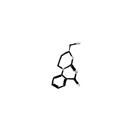 O=c1nc2n(c3ccccc13)CC[C@@H](CS)S2